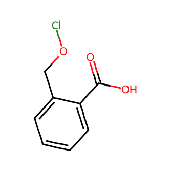 O=C(O)c1ccccc1COCl